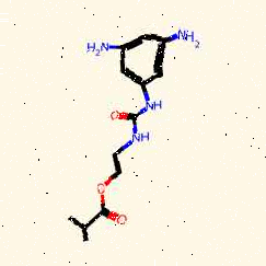 CC(C)C(=O)OCCNC(=O)Nc1cc(N)cc(N)c1